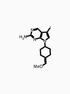 COC=C1CCC(n2cc(I)c3cnc(N)nc32)CC1